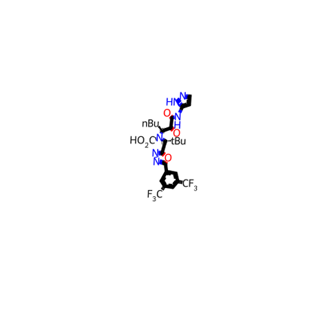 CCCC[C@@H](C(=O)C(=O)Nc1ccn[nH]1)N(C(=O)O)[C@@H](c1nnc(-c2cc(C(F)(F)F)cc(C(F)(F)F)c2)o1)C(C)(C)C